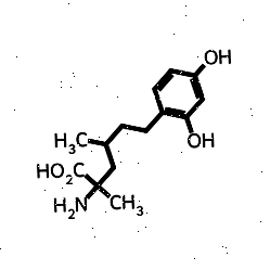 CC(CCc1ccc(O)cc1O)CC(C)(N)C(=O)O